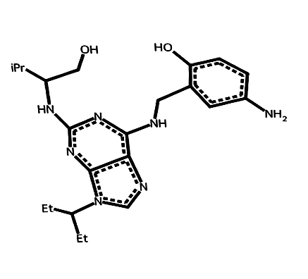 CCC(CC)n1cnc2c(NCc3cc(N)ccc3O)nc(NC(CO)C(C)C)nc21